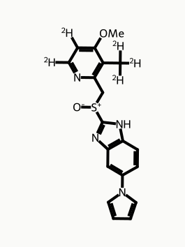 [2H]c1nc(C[S+]([O-])c2nc3cc(-n4cccc4)ccc3[nH]2)c(C([2H])([2H])[2H])c(OC)c1[2H]